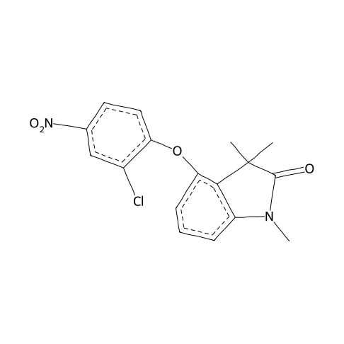 CN1C(=O)C(C)(C)c2c(Oc3ccc([N+](=O)[O-])cc3Cl)cccc21